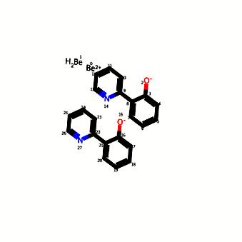 [Be+2].[BeH2].[O-]c1ccccc1-c1ccccn1.[O-]c1ccccc1-c1ccccn1